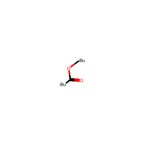 [CH2]CC(C)C(=O)OC(C)CC